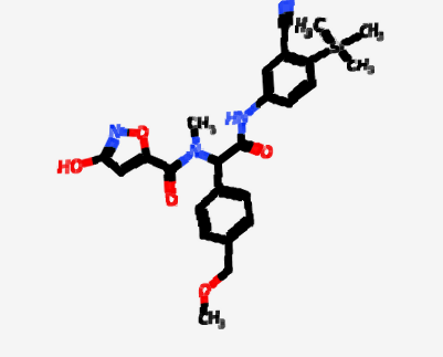 COCc1ccc(C(C(=O)Nc2ccc([Si](C)(C)C)c(C#N)c2)N(C)C(=O)c2cc(O)no2)cc1